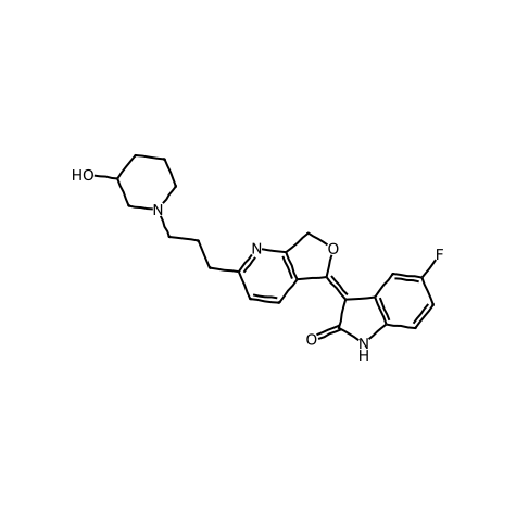 O=C1Nc2ccc(F)cc2C1=C1OCc2nc(CCCN3CCCC(O)C3)ccc21